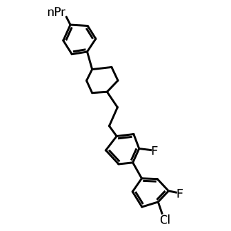 CCCc1ccc(C2CCC(CCc3ccc(-c4ccc(Cl)c(F)c4)c(F)c3)CC2)cc1